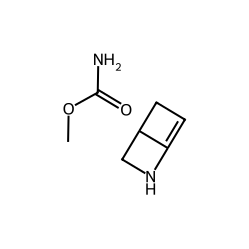 C1=C2NCC2C1.COC(N)=O